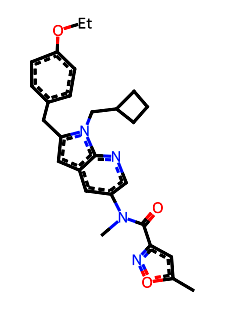 CCOc1ccc(Cc2cc3cc(N(C)C(=O)c4cc(C)on4)cnc3n2CC2CCC2)cc1